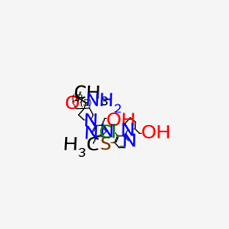 Cc1nc(N2CCC3(CC2)CO[C@@H](C)[C@H]3N)c(CO)nc1Sc1ccnc(N2CCCC2CO)c1Cl